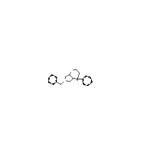 OC1(c2ccccc2)CCSC2CN(Cc3ccccc3)CC21